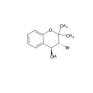 CC1(C)Oc2ccccc2[C@H](O)[C@H]1Br